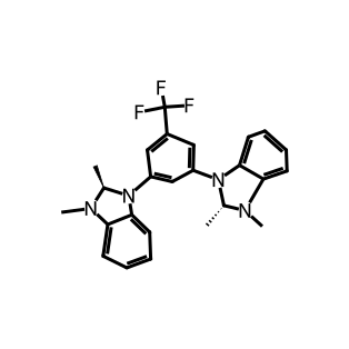 C[C@@H]1N(C)c2ccccc2N1c1cc(N2c3ccccc3N(C)[C@@H]2C)cc(C(F)(F)F)c1